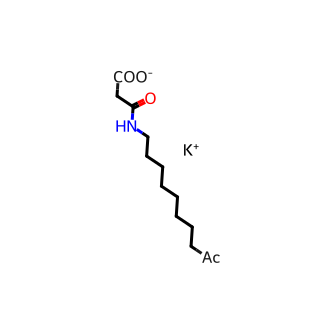 CC(=O)CCCCCCCCNC(=O)CC(=O)[O-].[K+]